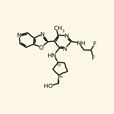 Cc1nc(NCC(F)F)nc(N[C@H]2CC[C@@H](CO)C2)c1-c1nc2cnccc2o1